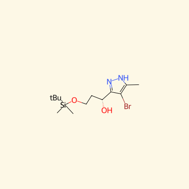 Cc1[nH]nc([C@H](O)CCO[Si](C)(C)C(C)(C)C)c1Br